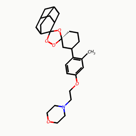 Cc1cc(OCCN2CCOCC2)ccc1C1CCC[C@]2(C1)OOC1(O2)C2CC3CC(C2)CC1C3